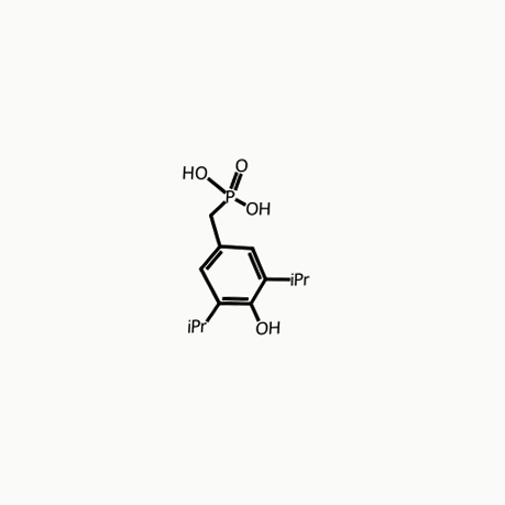 CC(C)c1cc(CP(=O)(O)O)cc(C(C)C)c1O